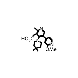 COc1cc(-c2cnc(C)c(CC(=O)O)c2N2CCC(C)(C)CC2)ccn1